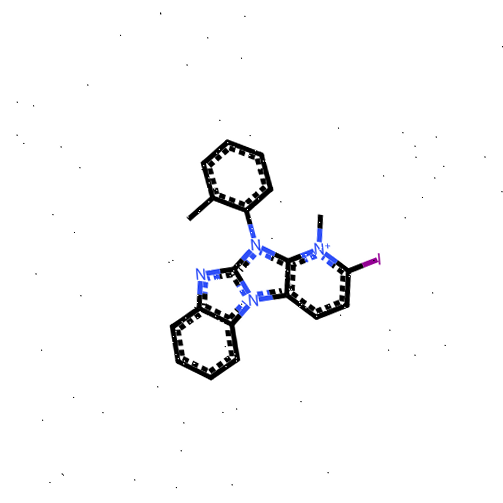 Cc1ccccc1-n1c2nc3ccccc3n2c2ccc(I)[n+](C)c21